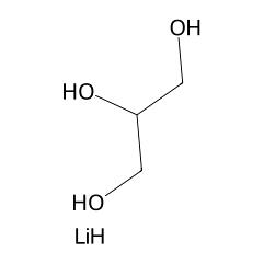 OCC(O)CO.[LiH]